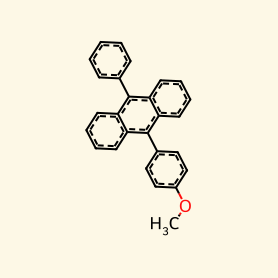 COc1ccc(-c2c3ccccc3c(-c3ccccc3)c3ccccc23)cc1